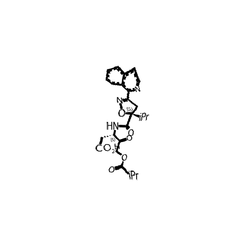 CC(C)C(=O)OCC(=O)[C@H](CC(=O)O)NC(=O)[C@@]1(C(C)C)CC(c2nccc3ccccc23)=NO1